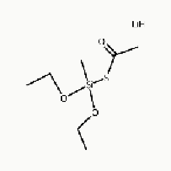 CCO[Si](C)(OCC)SC(C)=O.[LiH]